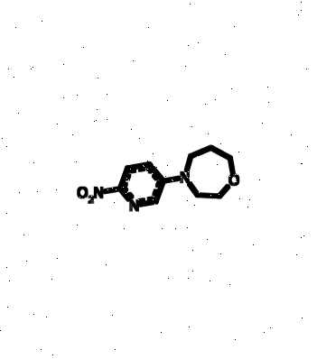 O=[N+]([O-])c1ccc(N2CCCOCC2)cn1